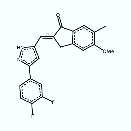 COc1cc2c(cc1C)C(=O)/C(=C/c1cc(-c3ccc(F)c(F)c3)n[nH]1)C2